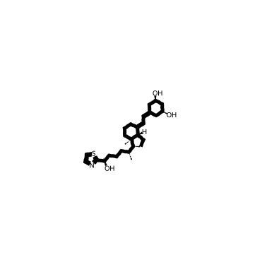 C[C@H](CCC[C@@H](O)c1nccs1)[C@H]1CC[C@H]2/C(=C/C=C3C[C@@H](O)C[C@H](O)C3)CCC[C@]12C